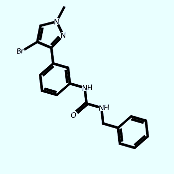 Cn1cc(Br)c(-c2cccc(NC(=O)NCc3ccccc3)c2)n1